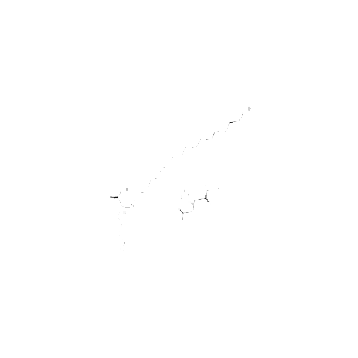 NCCCC[C@H](NCCCCCCCCCCCCCCCCO)C(=O)O.N[C@@H](CC(=O)O)C(=O)O